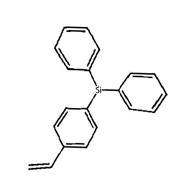 C=Cc1ccc([Si](c2ccccc2)c2ccccc2)cc1